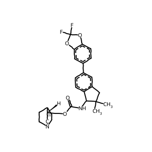 CC1(C)Cc2cc(-c3ccc4c(c3)OC(F)(F)O4)ccc2C1NC(=O)O[C@@H]1CN2CCC1CC2